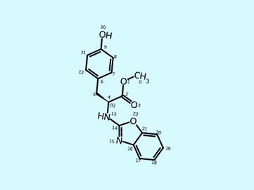 COC(=O)[C@H](Cc1ccc(O)cc1)Nc1nc2ccccc2o1